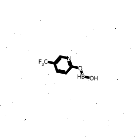 OBOc1ccc(C(F)(F)F)cn1